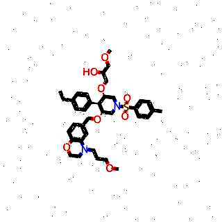 CCc1ccc([C@@H]2[C@@H](OCc3ccc4c(c3)N(CCCOC)CCO4)CN(S(=O)(=O)c3ccc(C)cc3)C[C@H]2OCC(O)COC)cc1